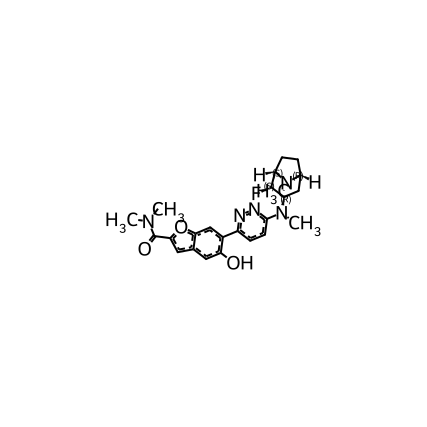 CN(C)C(=O)c1cc2cc(O)c(-c3ccc(N(C)[C@@H]4C[C@H]5CC[C@@H]([C@@H]4F)N5C)nn3)cc2o1